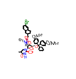 COc1ccc(C(OC[C@H]2O[C@@H](n3cc(C)c(=O)[nH]c3=O)CC2OP(OCc2ccc3cc(Br)ccc3c2)N(C(C)C)C(C)C)(c2ccccc2)c2ccc(OC)cc2)cc1